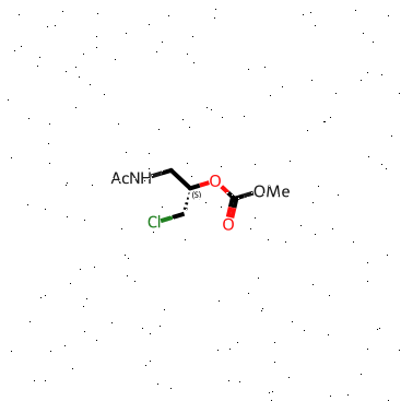 COC(=O)O[C@H](CCl)CNC(C)=O